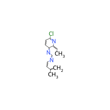 C=C(C)\C=C/N=C\N=C1\C=CC(Cl)=N\C1=C\C